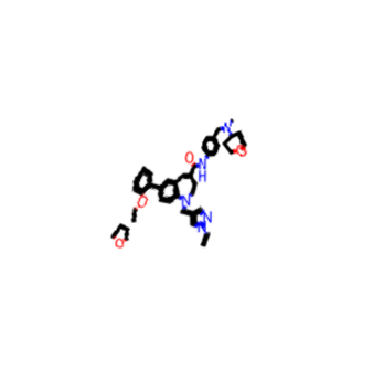 C1CCOC1.CCOc1ccccc1-c1ccc2c(c1)C=C(C(=O)Nc1ccc(CN(C)C3CCOCC3)cc1)CCN2Cc1cnn(CC)c1